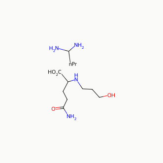 CCCC(N)N.NC(=O)CCC(NCCCO)C(=O)O